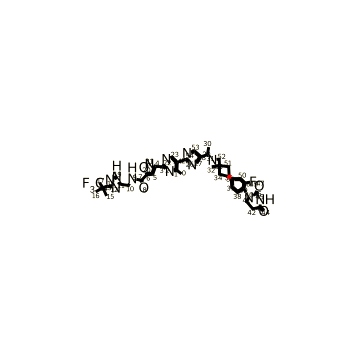 Cc1nc(-c2cc(C(=O)NCc3nc(C(C)(C)C(F)(F)F)n[nH]3)on2)ncc1-c1ncc(C(C)N2CC3(CC(c4ccc(N5CCC(=O)NC5=O)c(F)c4)C3)C2)cn1